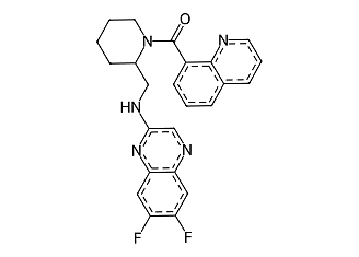 O=C(c1cccc2cccnc12)N1CCCCC1CNc1cnc2cc(F)c(F)cc2n1